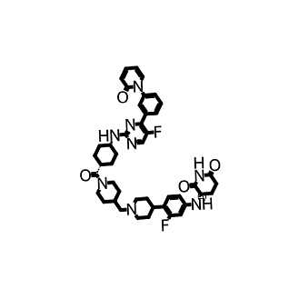 O=C1CC[C@H](Nc2ccc(C3CCN(CC4CCN(C(=O)[C@H]5CC[C@H](Nc6ncc(F)c(-c7cccc(-n8ccccc8=O)c7)n6)CC5)CC4)CC3)c(F)c2)C(=O)N1